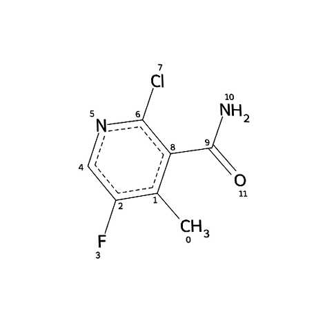 Cc1c(F)cnc(Cl)c1C(N)=O